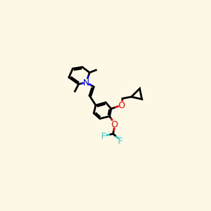 CC1=CC=CC(C)N1/C=C/c1ccc(OC(F)F)c(OCC2CC2)c1